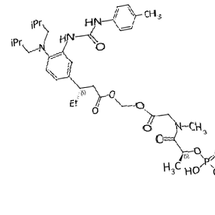 CC[C@@H](CC(=O)OCOC(=O)CN(C)C(=O)[C@H](C)OP(=O)(O)O)c1ccc(N(CC(C)C)CC(C)C)c(NC(=O)Nc2ccc(C)cc2)c1